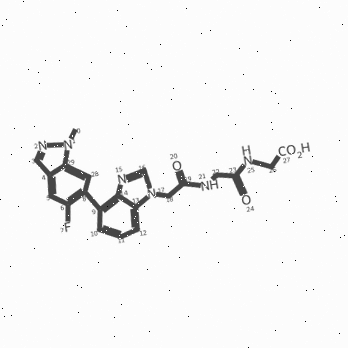 Cn1ncc2cc(F)c(-c3cccc4c3ncn4CC(=O)NCC(=O)NCC(=O)O)cc21